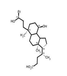 CC[C@H](O)CC[C@@]1(C)CC[C@@H](O)C2C1CC[C@@]1(C)C2CC[C@@H]1[C@H](C)CCC(=O)O